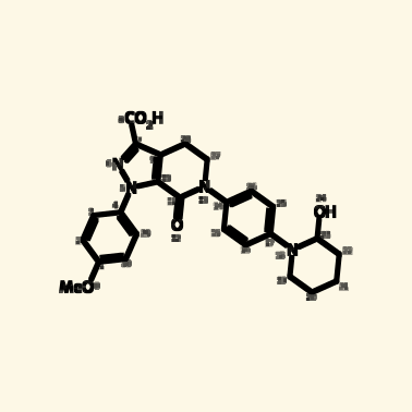 COc1ccc(-n2nc(C(=O)O)c3c2C(=O)N(c2ccc(N4CCCCC4O)cc2)CC3)cc1